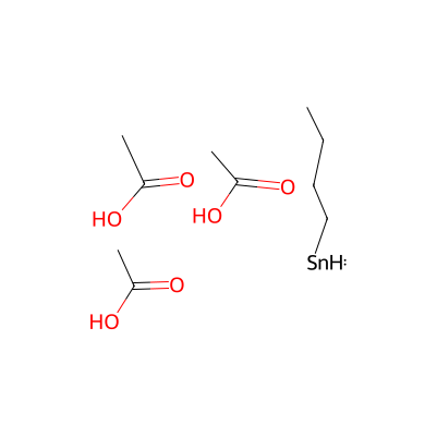 CC(=O)O.CC(=O)O.CC(=O)O.CCC[CH2][SnH]